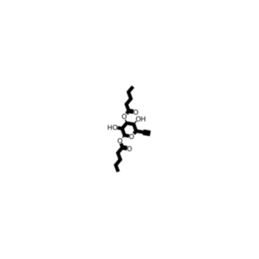 C#CC1O[C@H](OC(=O)CCCC)C(O)[C@H](OC(=O)CCCC)[C@@H]1O